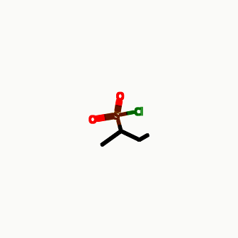 CCC(C)S(=O)(=O)Cl